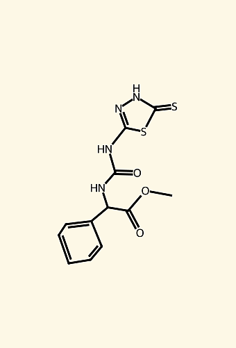 COC(=O)C(NC(=O)Nc1n[nH]c(=S)s1)c1ccccc1